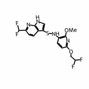 COc1nc(OCC(F)F)ccc1NSc1c[nH]c2nc(C(F)F)ccc12